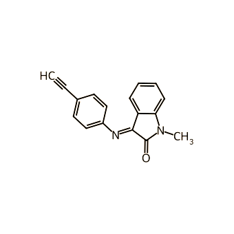 C#Cc1ccc(/N=C2/C(=O)N(C)c3ccccc32)cc1